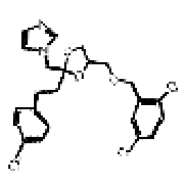 Clc1ccc(CCC2(Cn3ccnc3)OCC(COCc3cc(Cl)ccc3Cl)O2)cc1